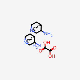 NC1CN2CCC1CC2.NC1CN2CCC1CC2.O=C(O)C(=O)O